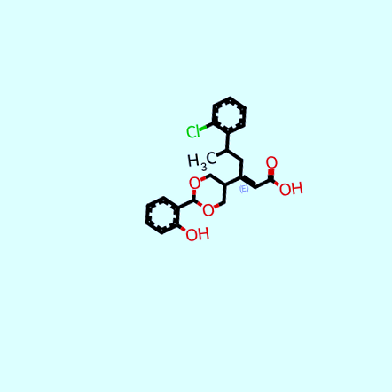 CC(C/C(=C\C(=O)O)C1COC(c2ccccc2O)OC1)c1ccccc1Cl